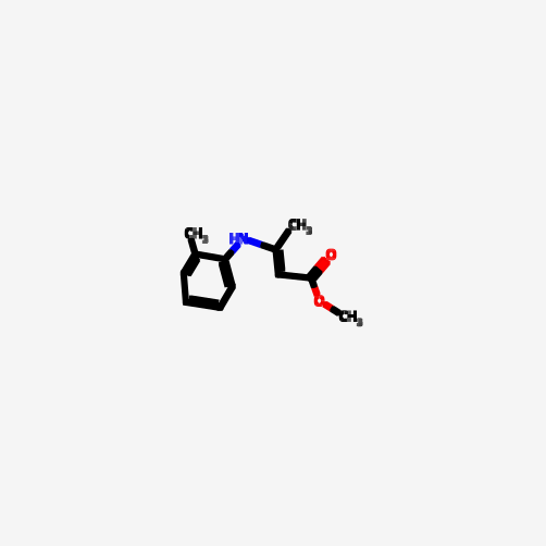 COC(=O)C=C(C)Nc1ccccc1C